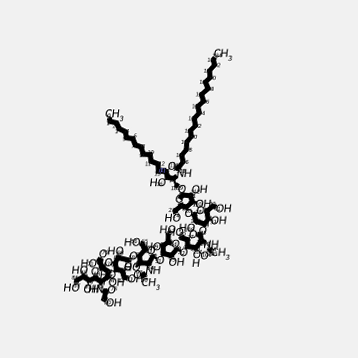 CCCCCCCCCCCCC/C=C/[C@@H](O)[C@H](CO[C@@H]1OC(CO)[C@@H](O[C@@H]2OC(CO)[C@H](O)[C@H](O[C@@H]3OC(CO)[C@@H](O[C@@H]4OC(CO)[C@H](O)[C@H](O[C@@H]5OC(CO)[C@@H](O[C@@H]6OC(CO)[C@H](O)[C@H](O[C@]7(C(=O)O)CC(O)[C@@H](NC(=O)CO)C([C@H](O)[C@H](O)CO)O7)C6O)[C@H](O)C5NC(C)=O)C4O)[C@H](O)C3NC(C)=O)C2O)[C@H](O)C1O)NC(=O)CCCCCCCCCCCCCCCCCCC